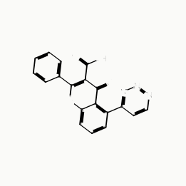 O=C(O)c1c(-c2ccccc2)oc2cccc(-c3ccnnn3)c2c1=O